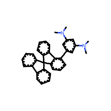 CN(C)c1cc(-c2cccc3c2-c2ccccc2C32c3ccccc3-c3ccccc32)cc(N(C)C)c1